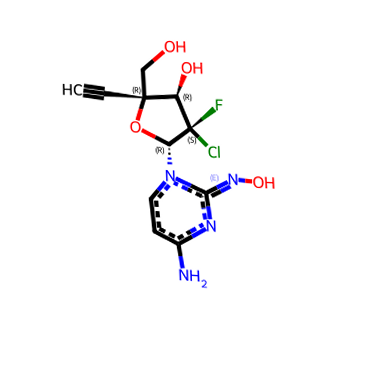 C#C[C@]1(CO)O[C@@H](n2ccc(N)n/c2=N\O)[C@@](F)(Cl)[C@@H]1O